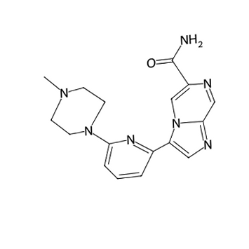 CN1CCN(c2cccc(-c3cnc4cnc(C(N)=O)cn34)n2)CC1